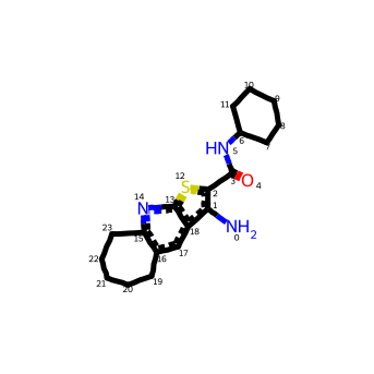 Nc1c(C(=O)NC2CCCCC2)sc2nc3c(cc12)CCCCC3